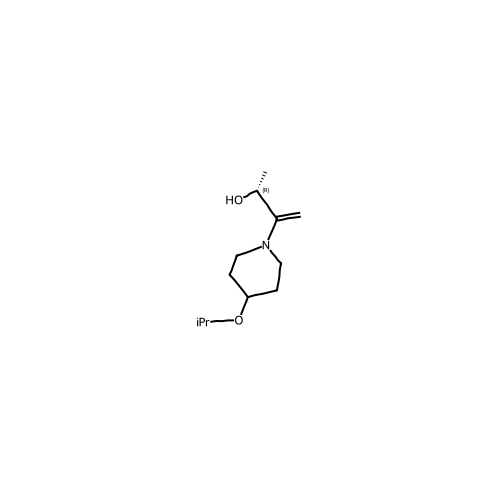 C=C([C@@H](C)O)N1CCC(OC(C)C)CC1